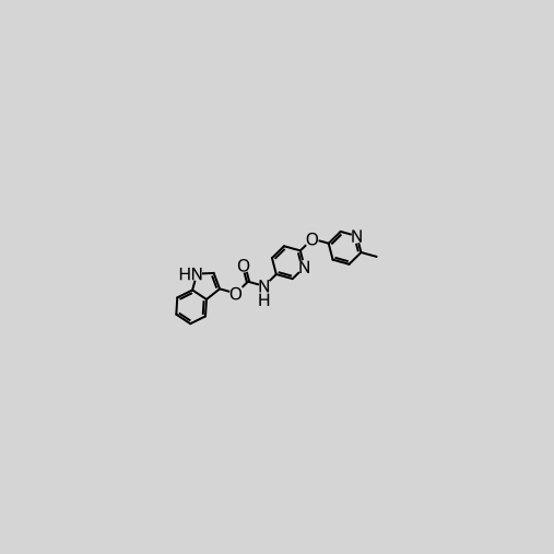 Cc1ccc(Oc2ccc(NC(=O)Oc3c[nH]c4ccccc34)cn2)cn1